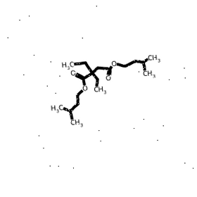 CCC(CC)(CC(=O)OCCC(C)C)C(=O)OCCC(C)C